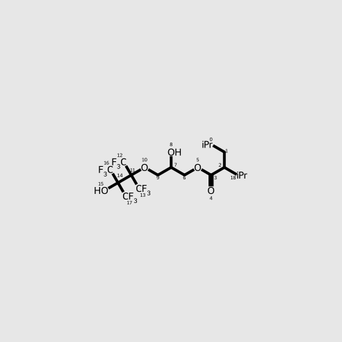 CC(C)CC(C(=O)OCC(O)COC(C(F)(F)F)(C(F)(F)F)C(O)(C(F)(F)F)C(F)(F)F)C(C)C